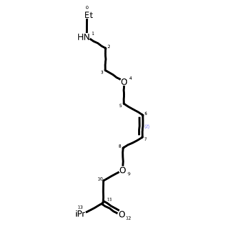 CCNCCOC/C=C\COCC(=O)C(C)C